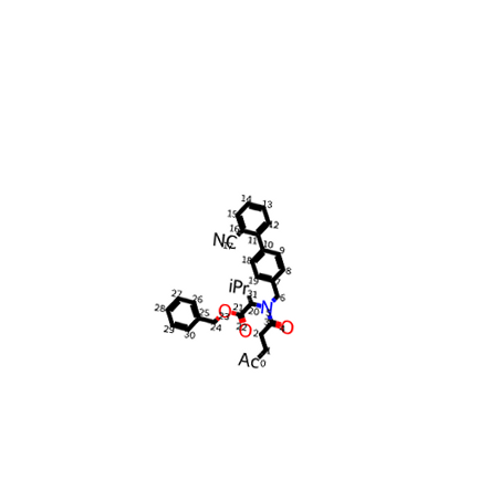 CC(=O)CCC(=O)N(Cc1ccc(-c2ccccc2C#N)cc1)C(C(=O)OCc1ccccc1)C(C)C